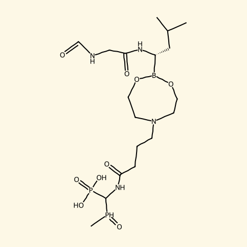 CC(C)C[C@@H](NC(=O)CNC=O)B1OCCN(CCCC(=O)NC([PH](C)=O)P(=O)(O)O)CCO1